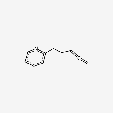 C=C=CCCc1ccccn1